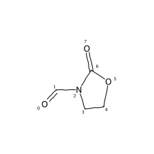 O=CN1CCOC1=O